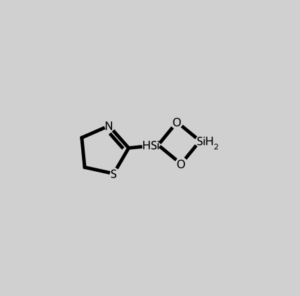 C1CSC([SiH]2O[SiH2]O2)=N1